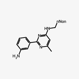 CCCCCCCCCCNc1cc(C)nc(-c2cccc(N)c2)n1